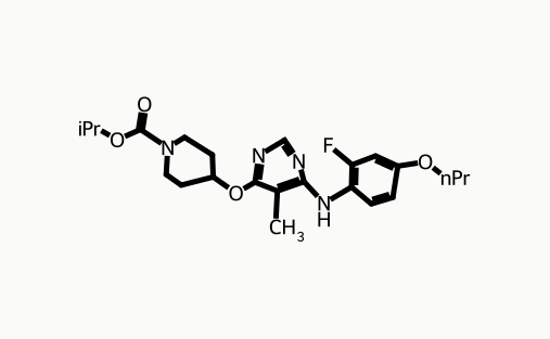 CCCOc1ccc(Nc2ncnc(OC3CCN(C(=O)OC(C)C)CC3)c2C)c(F)c1